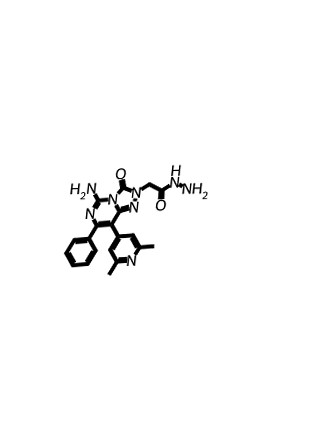 Cc1cc(-c2c(-c3ccccc3)nc(N)n3c(=O)n(CC(=O)NN)nc23)cc(C)n1